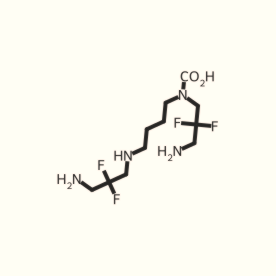 NCC(F)(F)CNCCCCN(CC(F)(F)CN)C(=O)O